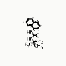 CC(NC(=O)Nc1cccc2ccccc12)(C(F)(F)F)C(F)(F)F